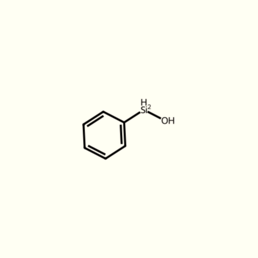 O[SiH2]c1ccccc1